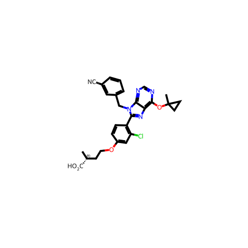 C[C@H](CCOc1ccc(-c2nc3c(OC4(C)CC4)ncnc3n2Cc2cccc(C#N)c2)c(Cl)c1)C(=O)O